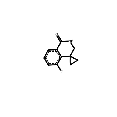 O=C1NCC2(CC2)c2c(F)cccc21